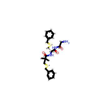 CC(C)(CSCc1ccccc1)C(=O)N[C@H](CSCc1ccccc1)C(=O)NC(=O)CN